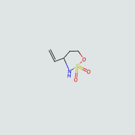 C=CC1CCOS(=O)(=O)N1